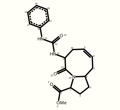 COC(=O)C1CCC2C/C=C\CC(NC(=O)Nc3ccccc3)C(=O)N21